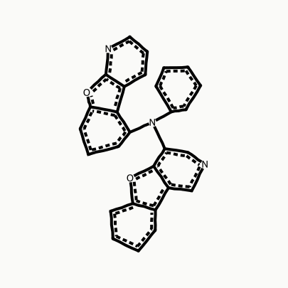 c1ccc(N(c2cncc3c2oc2ccccc23)c2cccc3oc4ncccc4c23)cc1